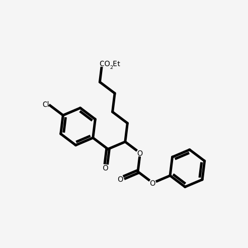 CCOC(=O)CCCCC(OC(=O)Oc1ccccc1)C(=O)c1ccc(Cl)cc1